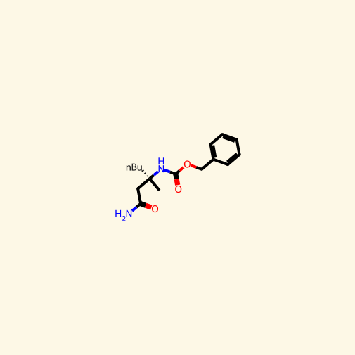 CCCC[C@](C)(CC(N)=O)NC(=O)OCc1ccccc1